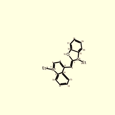 CCN1/C(=C/c2cc[n+](CC)c3ccccc23)Oc2ccccc21